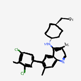 CC(=O)c1cnc2cc(C)c(-c3cc(Cl)c(C)c(Cl)c3)cc2c1N[C@H]1CC[C@H](CC(C)C)CC1